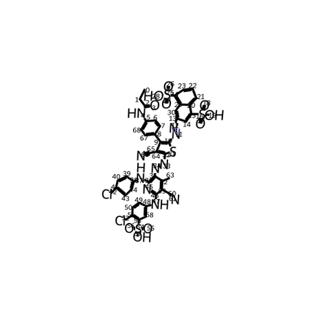 CCC(=O)Nc1ccc(-c2c(/N=N/c3cc(S(=O)(=O)O)c4cccc(S(=O)(=O)O)c4c3)sc(N=Nc3c(Nc4ccc(Cl)cc4)nc(Nc4ccc(Cl)c(S(=O)(=O)O)c4)c(C#N)c3C)c2C#N)cc1